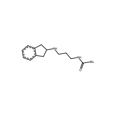 CCC(C)C(=O)NCCCNC1Cc2ccccc2C1